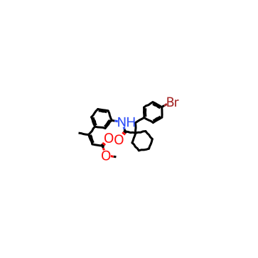 COC(=O)/C=C(/C)c1cccc(NC(=O)C2(Cc3ccc(Br)cc3)CCCCC2)c1